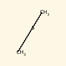 CCCCCCCCCCCCCCCCCCCCCCCCSCCCCCCCCCCCCCCC